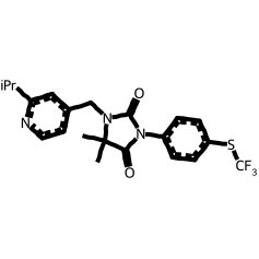 CC(C)c1cc(CN2C(=O)N(c3ccc(SC(F)(F)F)cc3)C(=O)C2(C)C)ccn1